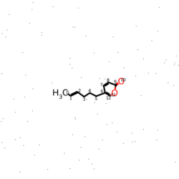 CC=CCCCc1ccc(=O)oc1